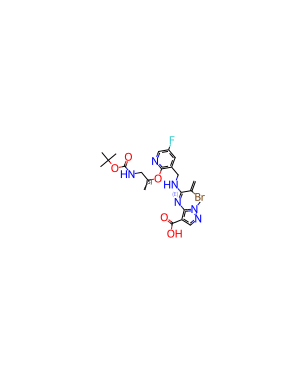 C=C(Br)/C(=N\c1c(C(=O)O)cnn1C)NCc1cc(F)cnc1O[C@@H](C)CNC(=O)OC(C)(C)C